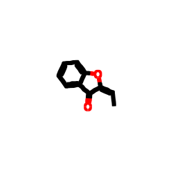 CC=C1Oc2ccccc2C1=O